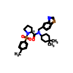 Cc1ccc(S(=O)(=O)N2CCC[C@H]2C(=O)N(Cc2ccc3scnc3c2)C2CCC(C)(C)CC2)cc1